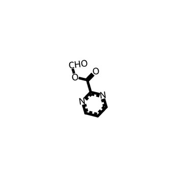 O=COC(=O)c1ncccn1